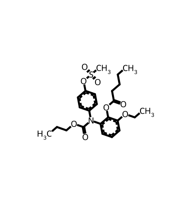 CCCCC(=O)Oc1c(OCC)cccc1N(C(=O)OCCC)c1ccc(OS(C)(=O)=O)cc1